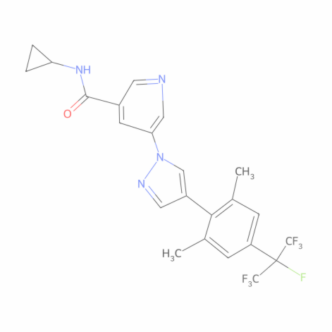 Cc1cc(C(F)(C(F)(F)F)C(F)(F)F)cc(C)c1-c1cnn(-c2cncc(C(=O)NC3CC3)c2)c1